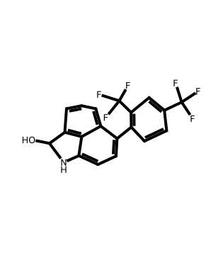 OC1Nc2ccc(-c3ccc(C(F)(F)F)cc3C(F)(F)F)c3cccc1c23